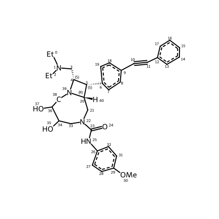 CCN(CC)C[C@@H]1[C@H](c2ccc(C#Cc3ccccc3)cc2)[C@@H]2CN(C(=O)Nc3ccc(OC)cc3)CC(O)C(O)CN12